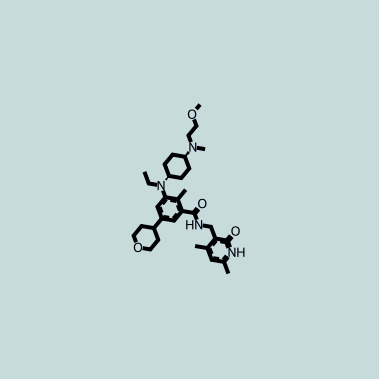 CCN(c1cc(C2CCOCC2)cc(C(=O)NCc2c(C)cc(C)[nH]c2=O)c1C)[C@H]1CC[C@H](N(C)CCOC)CC1